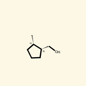 C[C@H]1CCC[C@H]1CO